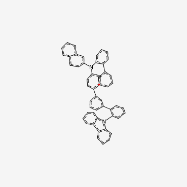 c1ccc(-c2ccccc2N(c2ccc(-c3cccc(-c4ccccc4-n4c5ccccc5c5ccccc54)c3)cc2)c2ccc3ccccc3c2)cc1